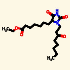 CCCCCC(=O)CCN1C(=O)NC(=O)C1CCCCCCC(=O)OCC